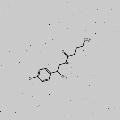 CC(CNC(=O)CCCC(=O)O)c1ccc(Cl)cc1